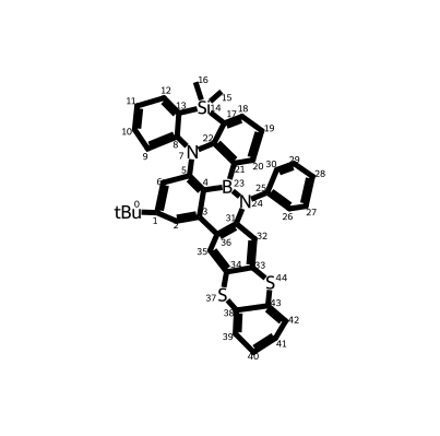 CC(C)(C)c1cc2c3c(c1)N1c4ccccc4[Si](C)(C)c4cccc(c41)B3N(c1ccccc1)c1cc3c(cc1-2)Sc1ccccc1S3